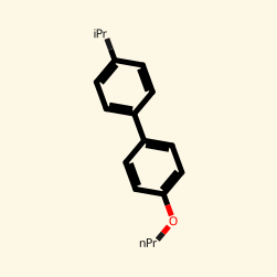 CCCOc1ccc(-c2ccc(C(C)C)cc2)cc1